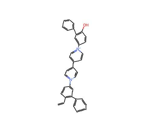 C=Cc1ccc(-[n+]2ccc(-c3cc[n+](-c4ccc(O)c(-c5ccccc5)c4)cc3)cc2)cc1-c1ccccc1